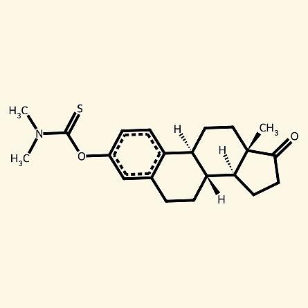 CN(C)C(=S)Oc1ccc2c(c1)CC[C@@H]1[C@@H]2CC[C@]2(C)C(=O)CC[C@@H]12